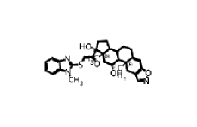 Cn1c(SCC(=O)[C@@]2(O)CCC3C4CCC5=Cc6oncc6C[C@]5(C)C4[C@@H](O)C[C@@]32C)nc2ccccc21